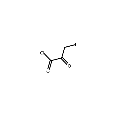 O=C(Cl)C(=O)CI